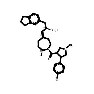 C[C@H]1CC/C(=C/[C@@H](Cc2ccc3c(c2)CCC3)C(=O)O)CCN1C(=O)C1CN(C(C)(C)C)CC1c1ccc(Cl)cc1